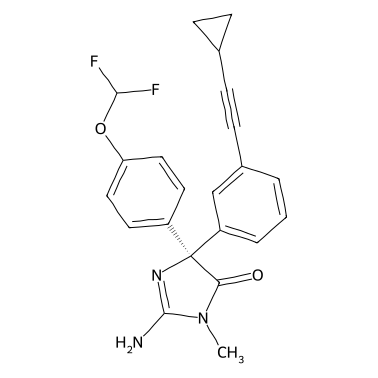 CN1C(=O)[C@](c2ccc(OC(F)F)cc2)(c2cccc(C#CC3CC3)c2)N=C1N